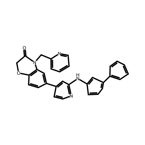 O=C1COc2ccc(-c3ccnc(Nc4cccc(-c5ccccc5)c4)c3)cc2N1Cc1ccccn1